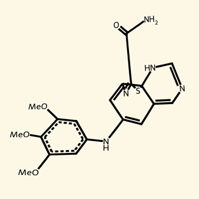 COc1cc(NC2=CC3=CN=CNC34SC(C(N)=O)=NC4=C2)cc(OC)c1OC